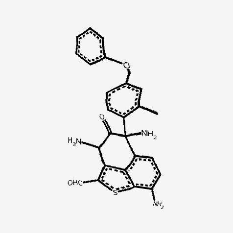 Cc1cc(Oc2ccccc2)ccc1C1(N)C(=O)C(N)c2c(C=O)sc3c(N)ccc1c23